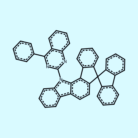 c1ccc(-c2nc(-n3c4ccccc4c4ccc5c(c43)-c3ccccc3C53c4ccccc4-c4ccccc43)nc3ccccc23)cc1